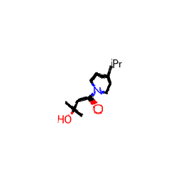 CC(C)C1CCN(C(=O)CC(C)(C)O)CC1